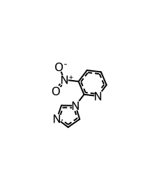 O=[N+]([O-])c1cccnc1-n1ccnc1